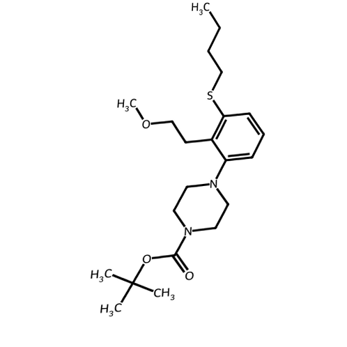 CCCCSc1cccc(N2CCN(C(=O)OC(C)(C)C)CC2)c1CCOC